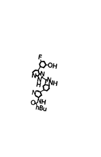 CCCCC(=O)Nc1cncc(-c2ccc3[nH]nc(-c4nc5c(-c6cc(O)cc(F)c6)ccnc5[nH]4)c3c2)c1